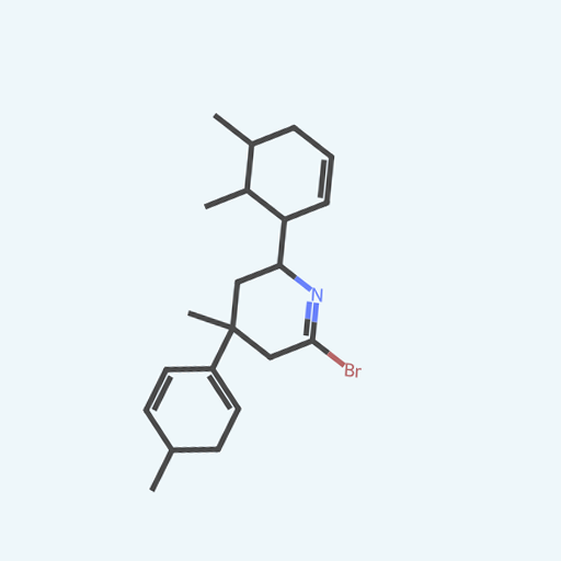 CC1C=CC(C2(C)CC(Br)=NC(C3C=CCC(C)C3C)C2)=CC1